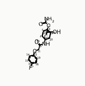 NC(=O)OC12CCC(NC(=O)COc3ccc(F)cc3)(CC1)CC2O